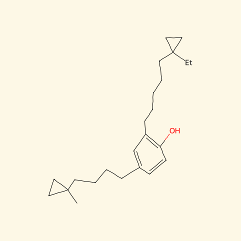 CCC1(CCCCCc2cc(CCCCC3(C)CC3)ccc2O)CC1